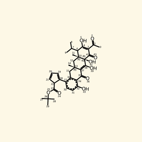 CC(=O)C1=C(O)C(C(C)C)[C@@]2(C)C[C@@]3(C)Cc4c(C5=CC=CC5C(=O)OC(C)(C)C)ccc(O)c4C(=O)C3=C(O)[C@@]2(O)C1=O